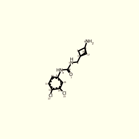 NC12CC(CNC(=O)Nc3ccc(Cl)c(Cl)c3)(C1)C2